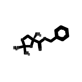 CC1(C)OC[C@@](C)(C(=O)OCc2ccccc2)O1